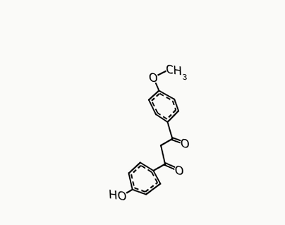 COc1ccc(C(=O)CC(=O)c2ccc(O)cc2)cc1